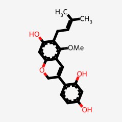 COc1c2c(cc(O)c1CC=C(C)C)OCC(c1ccc(O)cc1O)=C2